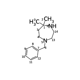 CC1(C)CCN(Cc2ccccc2)CCN1